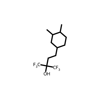 CC1CCC(CCC(O)(C(F)(F)F)C(F)(F)F)CC1C